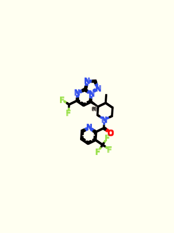 CC1CCN(C(=O)c2ncccc2C(F)(F)F)C[C@H]1c1cc(C(F)F)nc2ncnn12